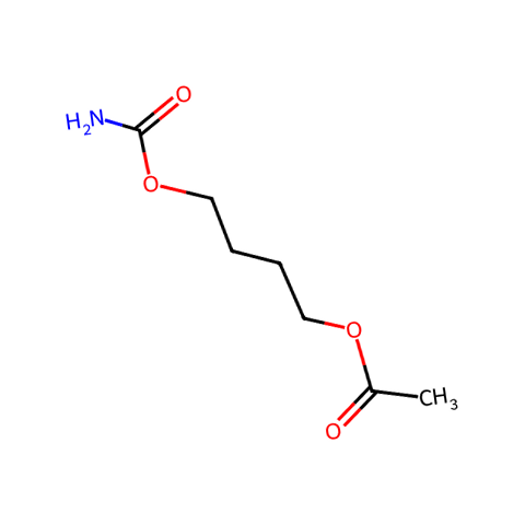 CC(=O)OCCCCOC(N)=O